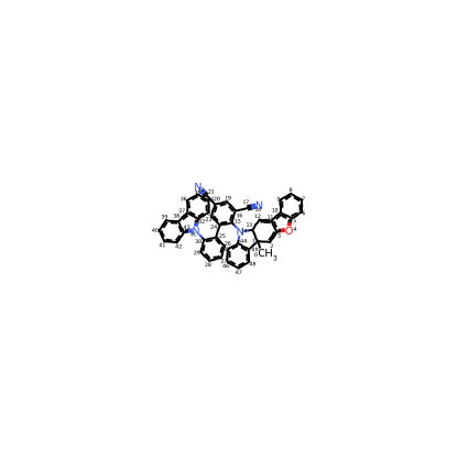 CC12C=c3oc4ccccc4c3=CC1N(c1c(C#N)cc(C#N)cc1-c1ccccc1-n1c3ccccc3c3ccccc31)c1ccccc12